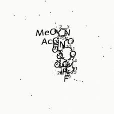 COc1ccnc(C(=O)N[C@H]2CCO[C@H](Cc3ccc(F)cc3)[C@@H](OC(=O)C(C)C)[C@H](C)OC2=O)c1OC(C)=O